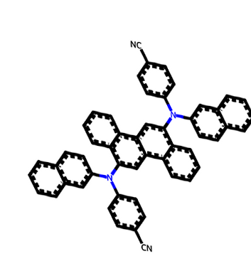 N#Cc1ccc(N(c2ccc3ccccc3c2)c2cc3c4ccccc4c(N(c4ccc(C#N)cc4)c4ccc5ccccc5c4)cc3c3ccccc23)cc1